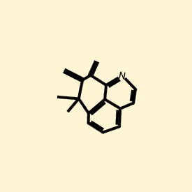 C=C1C(=C)C(C)(C)c2cccc3ccnc1c23